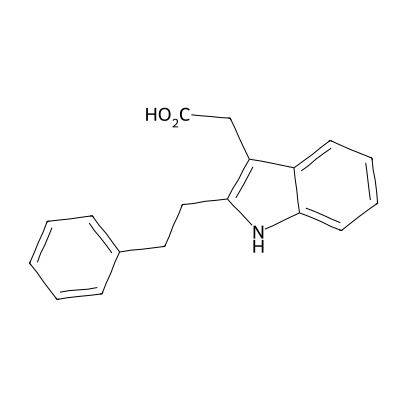 O=C(O)Cc1c(CCc2ccccc2)[nH]c2ccccc12